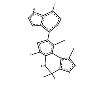 Cc1c(-c2ccc(F)c3[nH]ccc23)cc(F)c2c1-n1c(C)nnc1C(C)(C)N2